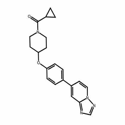 O=C(C1CC1)N1CCC(Oc2ccc(-c3ccn4ncnc4c3)cc2)CC1